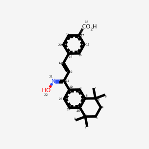 CC1(C)CCC(C)(C)c2cc(C(/C=C/c3ccc(C(=O)O)cc3)=N\O)ccc21